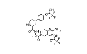 Cc1nc(N)ccc1CNC(=O)[C@H](C)NC(=O)C1CC(c2ccccc2)CCN1.O=C(O)C(F)(F)F.O=C(O)C(F)(F)F